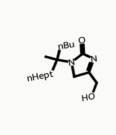 CCCCCCCC(C)(CCCC)N1CC(CO)=NC1=O